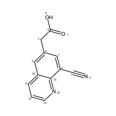 N#Cc1cc(CC(=O)O)cc2cccnc12